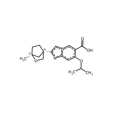 CC(C)Oc1cc2nc([C@@]34CC[C@@](C)(C3)OC4)cn2cc1C(=O)O